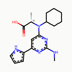 CNc1nc(-c2ccc[nH]2)cc(N(C2CCCCC2)[C@@H](C)C(=O)O)n1